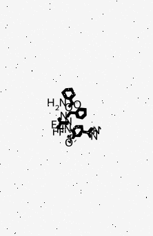 Cn1cc(-c2ccc(Nc3nc(C(OC(=O)c4ccccc4N)c4ccccc4)ncc3C(F)(F)F)c(P(C)(C)=O)c2)cn1